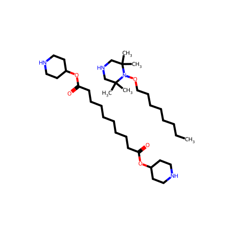 CCCCCCCCON1C(C)(C)CNCC1(C)C.O=C(CCCCCCCCC(=O)OC1CCNCC1)OC1CCNCC1